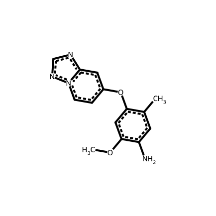 COc1cc(Oc2ccn3ncnc3c2)c(C)cc1N